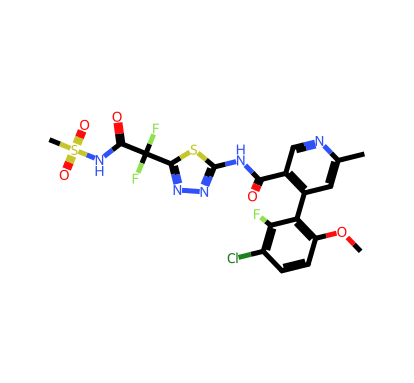 COc1ccc(Cl)c(F)c1-c1cc(C)ncc1C(=O)Nc1nnc(C(F)(F)C(=O)NS(C)(=O)=O)s1